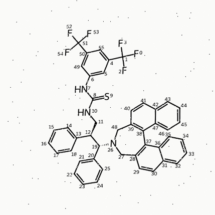 FC(F)(F)c1cc(NC(=S)NC[C@H](c2ccccc2)[C@@H](c2ccccc2)N2Cc3ccc4ccccc4c3-c3c(ccc4ccccc34)C2)cc(C(F)(F)F)c1